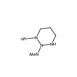 CCCN1CCCNN1NC